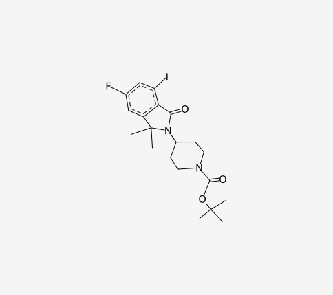 CC(C)(C)OC(=O)N1CCC(N2C(=O)c3c(I)cc(F)cc3C2(C)C)CC1